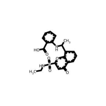 CCNS(=O)(=O)c1cc(=O)c2cccc(C(C)Nc3ccccc3C(=O)O)c2o1